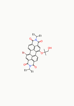 CCC(CC)N1C(=O)c2ccc3c4c(OC(C)(C)CO)cc5c6c(ccc(c7c(Br)cc(c2c37)C1=O)c64)C(=O)N(C(CC)CC)C5=O